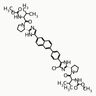 COC(=O)N[C@H](C(=O)N1CCC[C@H]1c1ncc(-c2ccc3cc(-c4ccc(-c5[nH]c([C@@H]6CCCN6C(=O)[C@@H](NC(=O)OC)C(C)C)nc5Cl)cc4)ccc3c2)[nH]1)C(C)C